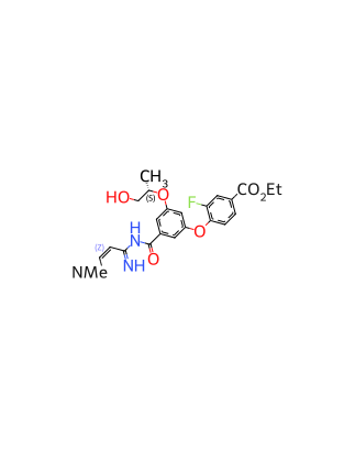 CCOC(=O)c1ccc(Oc2cc(O[C@@H](C)CO)cc(C(=O)NC(=N)/C=C\NC)c2)c(F)c1